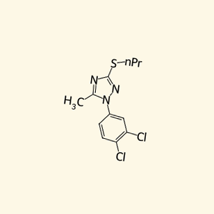 [CH2]CCSc1nc(C)n(-c2ccc(Cl)c(Cl)c2)n1